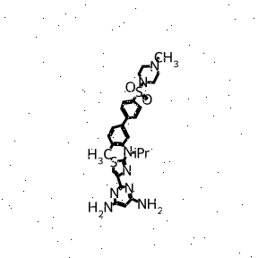 Cc1ccc(-c2ccc(S(=O)(=O)N3CCN(C)CC3)cc2)cc1N(c1nc(-c2nc(N)cc(N)n2)cs1)C(C)C